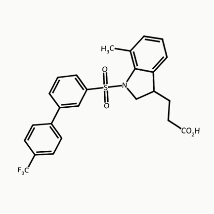 Cc1cccc2c1N(S(=O)(=O)c1cccc(-c3ccc(C(F)(F)F)cc3)c1)CC2CCC(=O)O